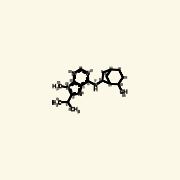 CC(C)c1nc2c(NC3CC4CCC(O)C3C4)ncnc2n1C